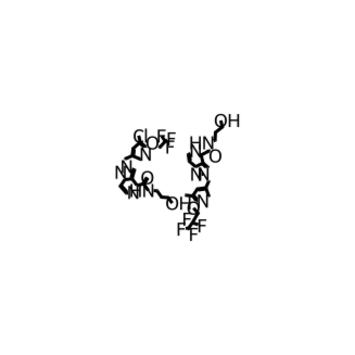 Cc1cc(Cn2cc3c(C(=O)NCCCO)nccc3n2)cnc1OCC(F)(F)C(F)F.O=C(NCCCO)c1nccc2nn(Cc3cnc(OCC(F)(F)F)c(Cl)c3)cc12